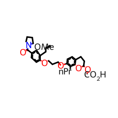 C=CCc1c(OCCCOc2ccc3c(c2CCC)OC(OC(=O)O)CC3)ccc(C(=O)N2CCCC2)c1OC